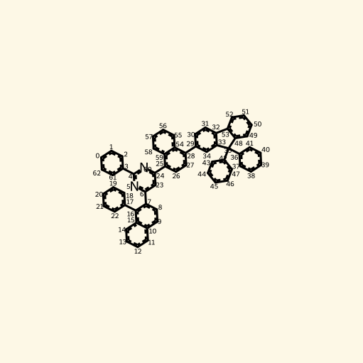 c1ccc(-c2nc(-c3ccc4ccccc4c3-c3ccccc3)cc(-c3ccc(-c4ccc5c(c4)C(c4ccccc4)(c4ccccc4)c4ccccc4-5)c4ccccc34)n2)cc1